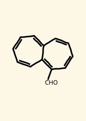 O=CC1=C2C=CC=CC=C2C=CC=C1